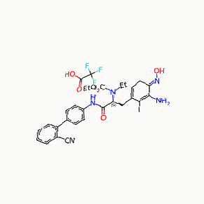 CCOC(=O)N(CC)[C@@H](CC1=CCC(=NO)C(N)=C1C)C(=O)Nc1ccc(-c2ccccc2C#N)cc1.O=C(O)C(F)(F)F